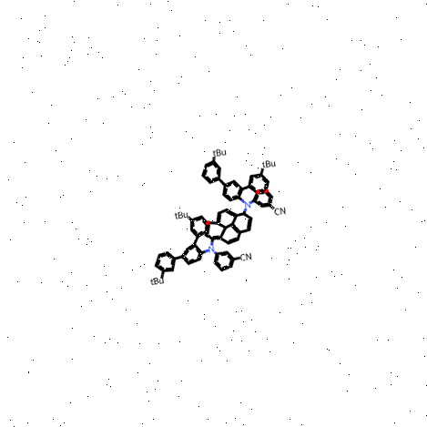 CC(C)(C)c1cccc(-c2ccc(N(C3=C4C=CC5=C6C(=CC=C(C=C3)C46)C(N(c3cccc(C#N)c3)c3ccc(-c4cccc(C(C)(C)C)c4)cc3-c3cccc(C(C)(C)C)c3)C=C5)c3cccc(C#N)c3)c(-c3cccc(C(C)(C)C)c3)c2)c1